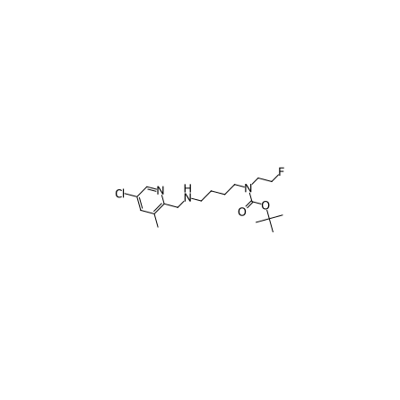 Cc1cc(Cl)cnc1CNCCCCN(CCF)C(=O)OC(C)(C)C